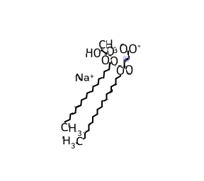 CCCCCCCCCCCCCCCCCC(=O)OC(=O)C(C)O.CCCCCCCCCCCCCCCCCCOC(=O)/C=C/C(=O)[O-].[Na+]